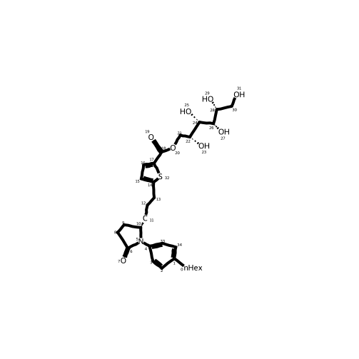 CCCCCCc1ccc(N2C(=O)CC[C@@H]2CCCc2ccc(C(=O)OC[C@@H](O)[C@H](O)[C@@H](O)[C@H](O)CO)s2)cc1